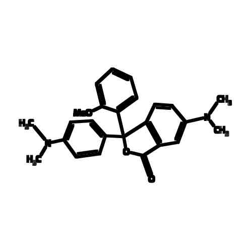 COc1ccccc1C1(c2ccc(N(C)C)cc2)OC(=O)c2cc(N(C)C)ccc21